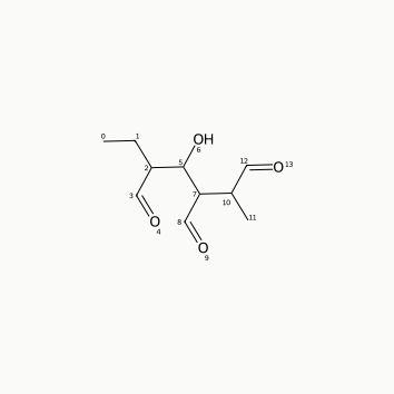 CCC(C=O)C(O)C(C=O)C(C)C=O